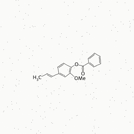 CC=Cc1ccc(OC(=O)c2ccccc2)c(OC)c1